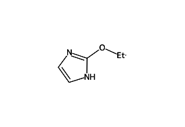 C[CH]Oc1ncc[nH]1